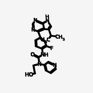 CC(C)c1c[nH]c2ncnc(-c3ccc(NC(=O)N(CCO)c4cccnc4)c(F)c3)c12